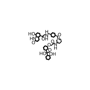 O=C(COc1cccc([C@](O)(C(=O)O)c2ccccc2)c1)N[C@H]1CCCN(C(=O)c2ccc(CNC[C@H](O)c3ccc(O)c4[nH]c(=O)ccc34)cc2)C1